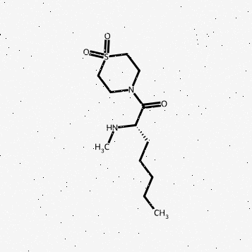 CCCCC[C@H](NC)C(=O)N1CCS(=O)(=O)CC1